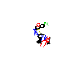 CN(c1nc2c(s1)-c1ccc(Cl)cc1OC2)C1CCN(C(=O)OC(C)(C)C)C2(CC2)C1